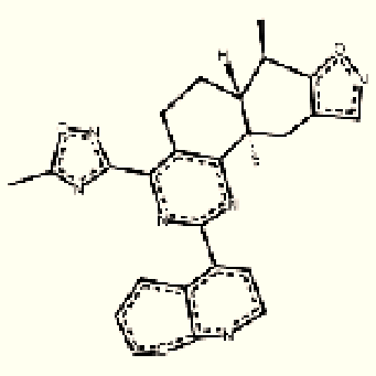 Cc1nc(-c2nc(-c3ccnc4ccccc34)nc3c2CC[C@@H]2[C@@H](C)c4oncc4C[C@@]32C)no1